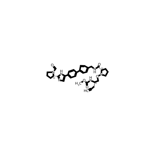 C#CC[C@@H](CON1CCC[C@H]1C(=O)NCc1ccc(-c2ccc(-c3cnc([C@@H]4CCCN4C=O)[nH]3)cc2)cc1)NC(=O)OC